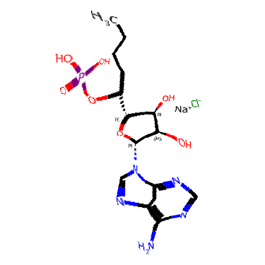 CCCCC(OP(=O)(O)O)[C@H]1O[C@@H](n2cnc3c(N)ncnc32)[C@H](O)[C@@H]1O.[Cl-].[Na+]